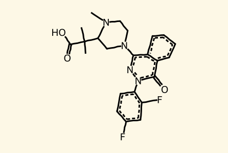 CN1CCN(c2nn(-c3ccc(F)cc3F)c(=O)c3ccccc23)CC1C(C)(C)C(=O)O